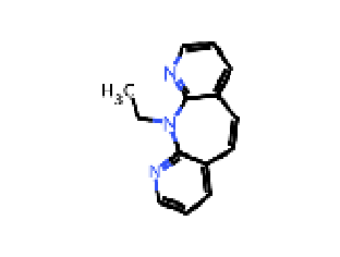 CCN1c2ncccc2C=Cc2cccnc21